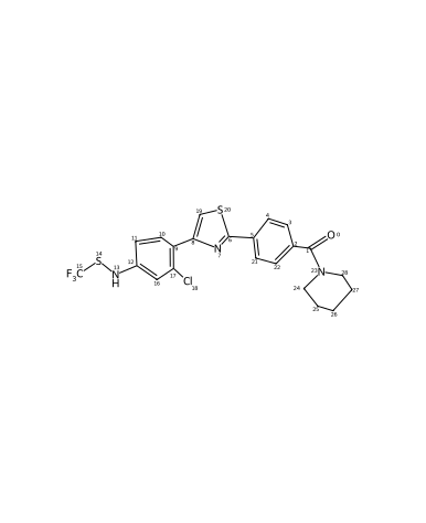 O=C(c1ccc(-c2nc(-c3ccc(NSC(F)(F)F)cc3Cl)cs2)cc1)N1CCCCC1